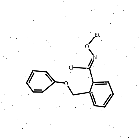 CCO/N=C(\Cl)c1ccccc1COc1ccccc1